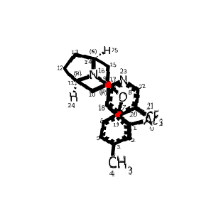 CC(=O)c1cc(C)ccc1O[C@H]1C[C@H]2CC[C@@H](C1)N2c1ccc(C(F)(F)F)cn1